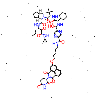 CCC[C@H](NC(=O)[C@@H]1[C@H]2CCC[C@H]2CN1C(=O)[C@@H](NC(=O)[C@@H](NC(O)c1cnc(C(=O)NCCCCCOc2cc3c4c(cccc4c2)C(=O)N(C2CCC(=O)NC2=O)C3=O)cn1)C1CCCCC1)C(C)(C)C)C(=O)C(=O)NC1CC1